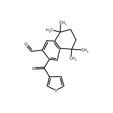 CC1(C)CCC(C)(C)c2cc(C(=O)c3ccsc3)c(C=O)cc21